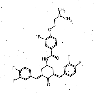 CN(C)CCOc1ccc(C(=O)NC2CC(=Cc3ccc(F)c(F)c3)C(=O)C(=Cc3ccc(F)c(F)c3)C2)cc1F